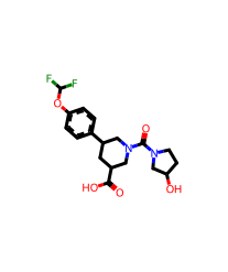 O=C(O)C1CC(c2ccc(OC(F)F)cc2)CN(C(=O)N2CCC(O)C2)C1